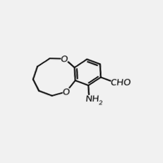 Nc1c(C=O)ccc2c1OCCCCCO2